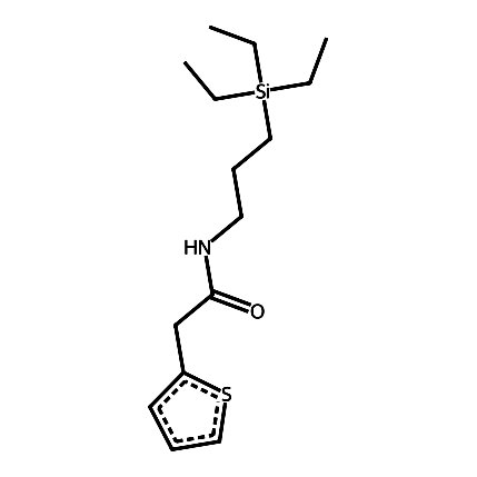 CC[Si](CC)(CC)CCCNC(=O)Cc1cccs1